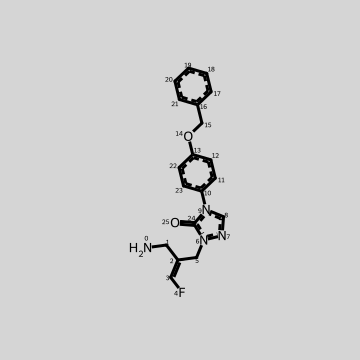 NC/C(=C/F)Cn1ncn(-c2ccc(OCc3ccccc3)cc2)c1=O